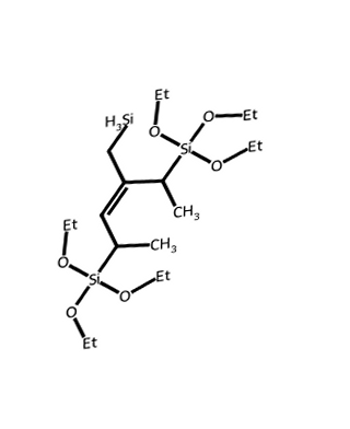 CCO[Si](OCC)(OCC)C(C)C=C(C[SiH3])C(C)[Si](OCC)(OCC)OCC